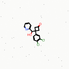 O=C1CC(c2ccc(Cl)c(Cl)c2)(C(O)c2ccccn2)C1